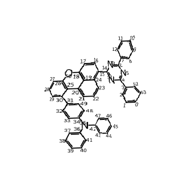 c1ccc(-c2nc(-c3ccccc3)nc(-c3ccc4c5c(cccc35)-c3c(cccc3-c3ccc(N(c5ccccc5)c5ccccc5)cc3)O4)n2)cc1